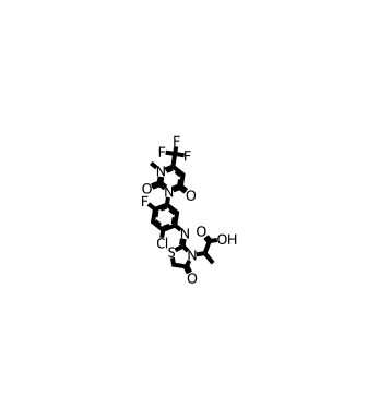 CC(C(=O)O)N1C(=O)CSC1=Nc1cc(-n2c(=O)cc(C(F)(F)F)n(C)c2=O)c(F)cc1Cl